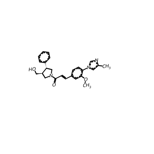 COc1cc(/C=C/C(=O)N2C[C@@H](CO)[C@H](c3ccccc3)C2)ccc1-n1cnc(C)c1